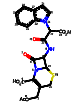 CC(=O)OCC1=C(C(=O)O)N2C(=O)C(NC(=O)C(C(=O)O)n3ccc4ccccc43)C2SC1